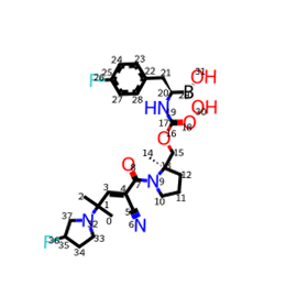 CC(C)(/C=C(\C#N)C(=O)N1CCC[C@]1(C)COC(=O)N[C@@H](Cc1ccc(F)cc1)B(O)O)N1CCC(F)C1